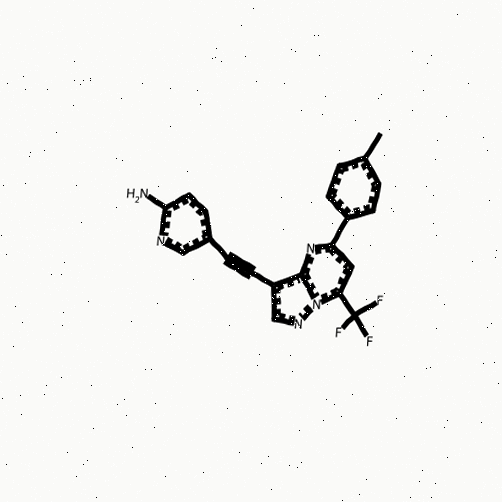 Cc1ccc(-c2cc(C(F)(F)F)n3ncc(C#Cc4ccc(N)nc4)c3n2)cc1